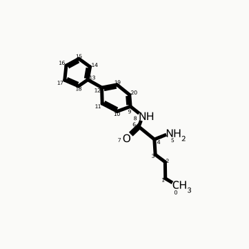 CCCCC(N)C(=O)Nc1ccc(-c2ccccc2)cc1